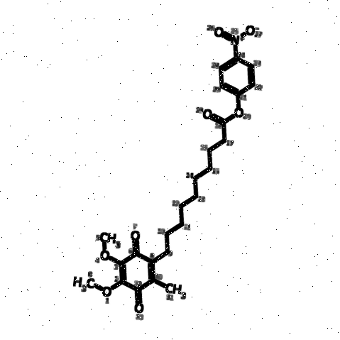 COC1=C(OC)C(=O)C(CCCCCCCCCC(=O)Oc2ccc([N+](=O)[O-])cc2)=C(C)C1=O